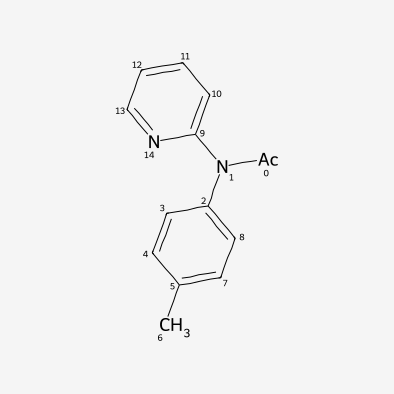 CC(=O)N(c1ccc(C)cc1)c1ccccn1